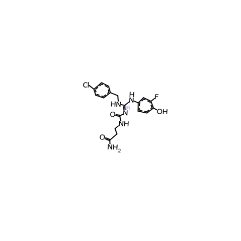 NC(=O)CCNC(=O)/N=C(\NCc1ccc(Cl)cc1)Nc1ccc(O)c(F)c1